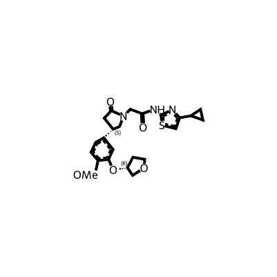 COc1ccc([C@@H]2CC(=O)N(CC(=O)Nc3nc(C4CC4)cs3)C2)cc1O[C@@H]1CCOC1